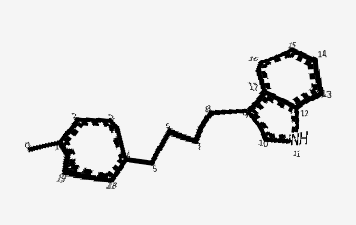 Cc1ccc(CCCCc2c[nH]c3ccccc23)cc1